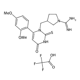 COc1ccc(-c2cc(=O)[nH]c(=S)n2CC2CCN(C(=N)N)C2)c(OC)c1.O=C(O)C(F)(F)F